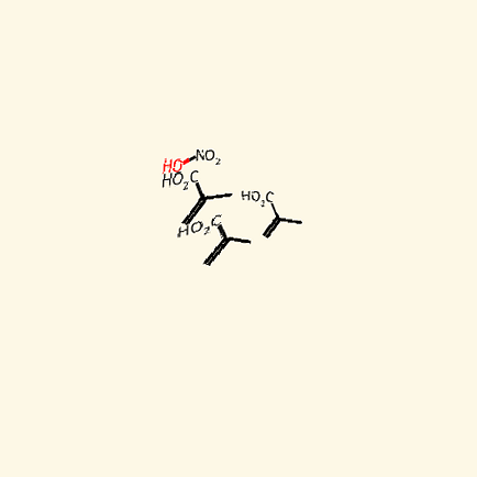 C=C(C)C(=O)O.C=C(C)C(=O)O.C=C(C)C(=O)O.O=[N+]([O-])O